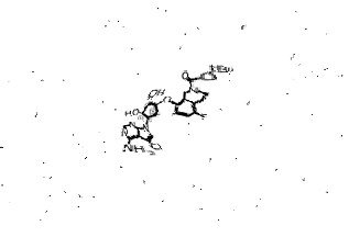 CC(C)(C)OC(=O)N1CCc2c(F)ccc(O[C@H]3C[C@@H](n4cc(Cl)c5c(N)ncnc54)[C@H](O)[C@@H]3O)c2C1